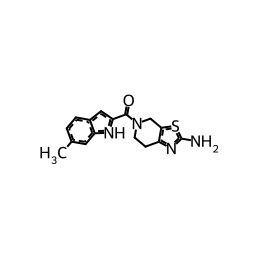 Cc1ccc2cc(C(=O)N3CCc4nc(N)sc4C3)[nH]c2c1